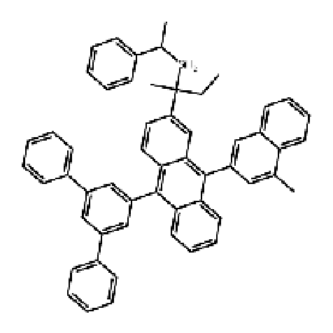 CCC(C)([SiH2]C(C)c1ccccc1)c1ccc2c(-c3cc(-c4ccccc4)cc(-c4ccccc4)c3)c3ccccc3c(-c3cc(C)c4ccccc4c3)c2c1